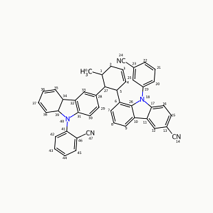 CC1CC=CC(c2cccc3c4cc(C#N)ccc4n(-c4cccc(C#N)c4)c23)C1c1ccc2c(c1)C1C=CC=CC1N2c1ccccc1C#N